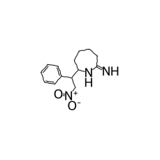 N=C1CCCCC(C(C[N+](=O)[O-])c2ccccc2)N1